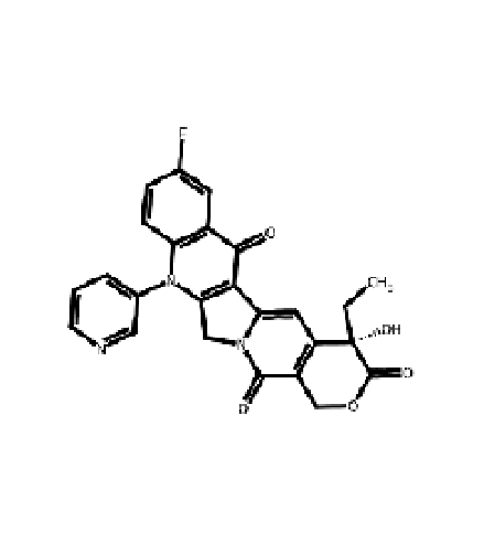 CC[C@@]1(O)C(=O)OCc2c1cc1n(c2=O)Cc2c-1c(=O)c1cc(F)ccc1n2-c1cccnc1